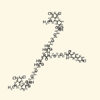 CN1Cc2c(Cl)cc(Cl)cc2[C@H](c2cccc(S(=O)(=O)NCCOCCOCCNC(=O)NCCN(CCNC(=O)NCCOCCOCCNS(=O)(=O)c3cccc([C@@H]4CN(C)Cc5c(Cl)cc(Cl)cc54)c3)C(=O)NCCOCCOCCNC(=O)c3ccc(-c4ccc(Cl)cc4)cc3)c2)C1